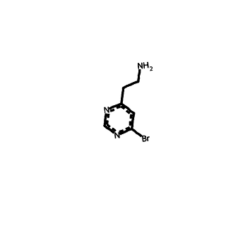 NCCc1cc(Br)ncn1